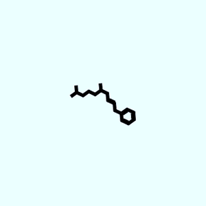 CC(C)CCCC(C)C/C=C/Cc1ccccc1